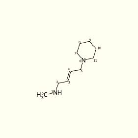 CNCC=CCN1CCCCC1